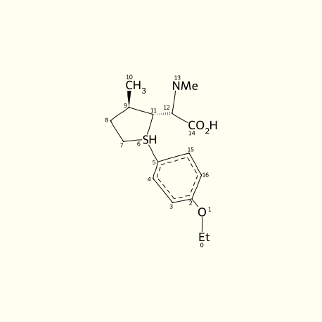 CCOc1ccc([SH]2CC[C@@H](C)[C@@H]2C(NC)C(=O)O)cc1